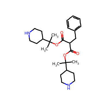 CC(C)(OC(=O)C(Cc1ccccc1)C(=O)OC(C)(C)C1CCNCC1)C1CCNCC1